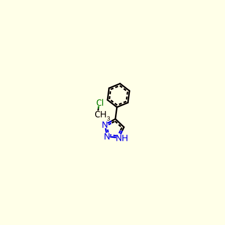 CCl.c1ccc(-c2c[nH]nn2)cc1